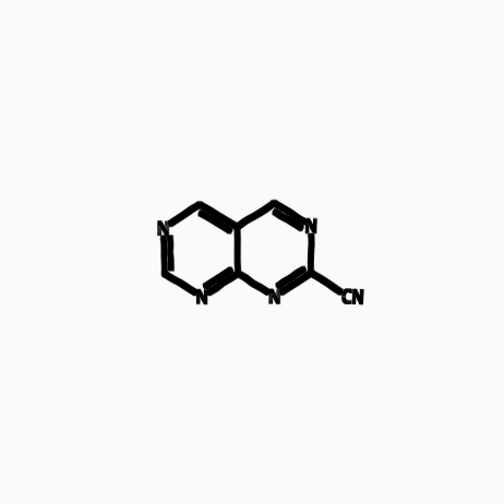 N#Cc1ncc2cncnc2n1